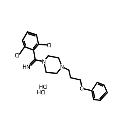 Cl.Cl.N=C(c1c(Cl)cccc1Cl)N1CCN(CCCOc2ccccc2)CC1